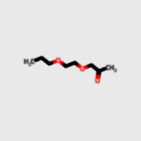 CCCOCCOCC(C)=O